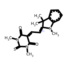 CN1C(=O)C(=C/C=C2/N(C)c3ccccc3C2(C)C)C(=O)N(C)C1=S